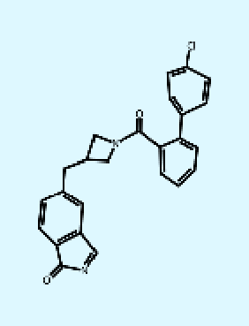 O=C1N=Cc2cc(CC3CN(C(=O)c4ccccc4-c4ccc(Cl)cc4)C3)ccc21